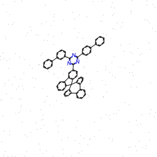 c1ccc(-c2ccc(-c3nc(-c4cccc(-c5ccccc5)c4)nc(-c4ccc5c(c4)-c4ccccc4C54c5ccccc5-c5ccccc5-c5ccccc54)n3)cc2)cc1